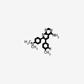 Cc1ccc(-c2cc3c(N)ncnc3nc2-c2ccc(N(C)C)cc2)cc1F